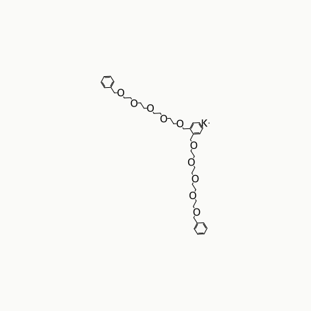 [K].c1ccc(COCCOCCOCCOCCOCc2ccccc2COCCOCCOCCOCCOCc2ccccc2)cc1